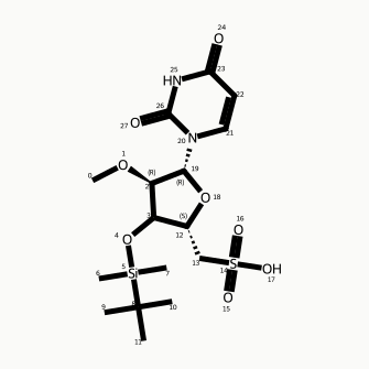 CO[C@@H]1C(O[Si](C)(C)C(C)(C)C)[C@@H](CS(=O)(=O)O)O[C@H]1n1ccc(=O)[nH]c1=O